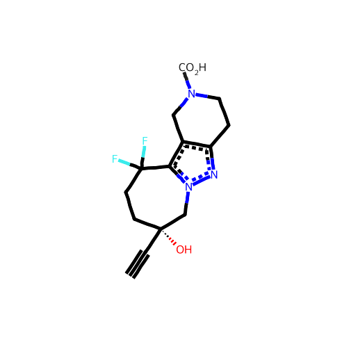 C#C[C@@]1(O)CCC(F)(F)c2c3c(nn2C1)CCN(C(=O)O)C3